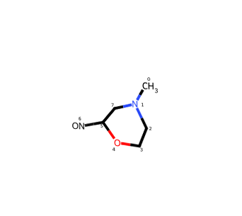 CN1CCOC(N=O)C1